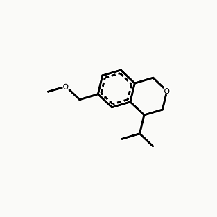 COCc1ccc2c(c1)C(C(C)C)COC2